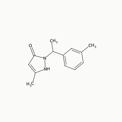 Cc1cccc(C(C)n2[nH]c(C)cc2=O)c1